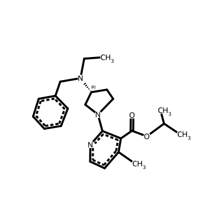 CCN(Cc1ccccc1)[C@@H]1CCN(c2nccc(C)c2C(=O)OC(C)C)C1